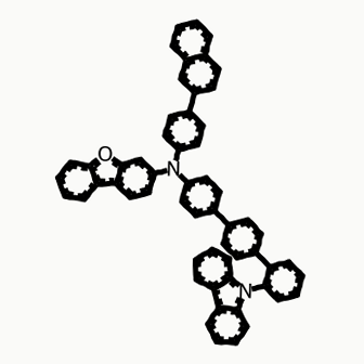 c1ccc(-n2c3ccccc3c3ccccc32)c(-c2ccc(-c3ccc(N(c4ccc(-c5ccc6ccccc6c5)cc4)c4ccc5c(c4)oc4ccccc45)cc3)cc2)c1